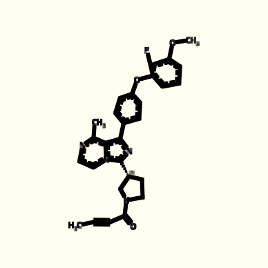 CC#CC(=O)N1CC[C@@H](c2nc(-c3ccc(Oc4cccc(OC)c4F)cc3)c3c(C)nccn23)C1